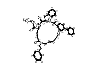 COC(=O)[C@@H]1CCC(=O)N(CCc2ccccc2)C/C=C/COc2cc(-c3ccncc3)ccc2C(=O)N[C@H](Cc2ccccc2)C(=O)N1